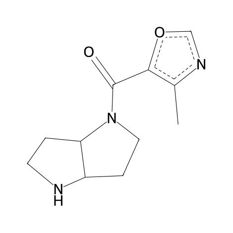 Cc1ncoc1C(=O)N1CCC2NCCC21